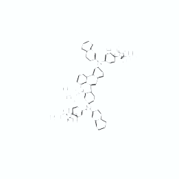 C[Si](C)(C)c1ccc(N(c2ccc3c(c2)[Si](C)(C)c2cccc4c2c-3cc2ccc(N(c3ccc([Si](C)(C)C)cc3)c3ccc5ccccc5c3)cc24)c2ccc3ccccc3c2)cc1